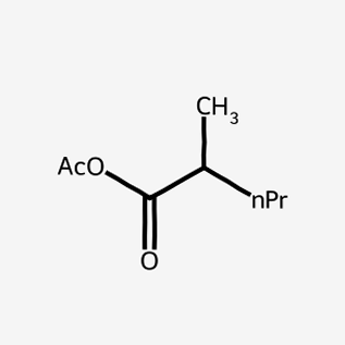 CCCC(C)C(=O)OC(C)=O